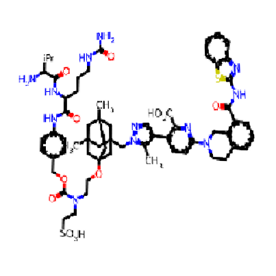 Cc1c(-c2ccc(N3CCc4cccc(C(=O)Nc5nc6ccccc6s5)c4C3)nc2C(=O)O)cnn1CC12CC3(C)CC(C)(C1)CC(OCCN(CCS(=O)(=O)O)C(=O)OCc1ccc(NC(=O)C(CCCNC(N)=O)NC(=O)C(N)C(C)C)cc1)(C3)C2